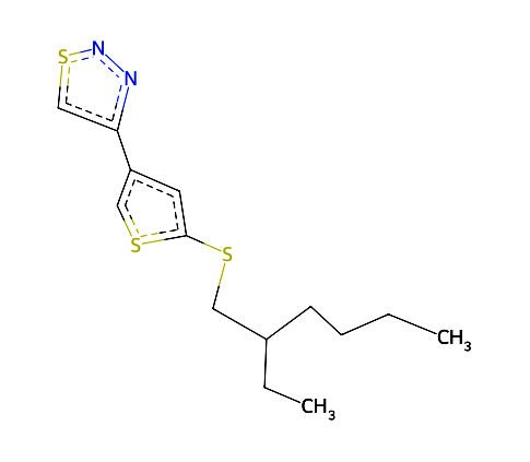 CCCCC(CC)CSc1cc(-c2csnn2)cs1